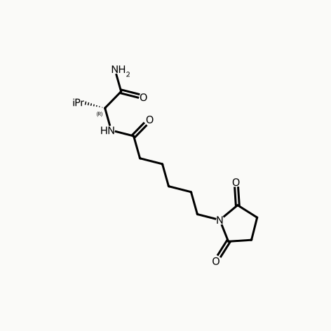 CC(C)[C@@H](NC(=O)CCCCCN1C(=O)CCC1=O)C(N)=O